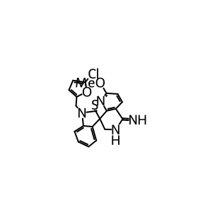 COc1ccc2c(n1)C1(CNC2=N)C(=S)N(Cc2ccc(Cl)o2)c2ccccc21